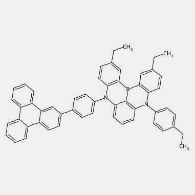 CCc1ccc(N2c3ccc(CC)cc3B3c4cc(CC)ccc4N(c4ccc(-c5ccc6c7ccccc7c7ccccc7c6c5)cc4)c4cccc2c43)cc1